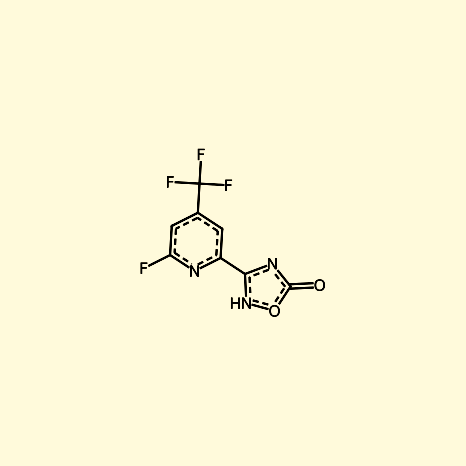 O=c1nc(-c2cc(C(F)(F)F)cc(F)n2)[nH]o1